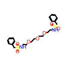 O=S(=O)(Cc1ccccc1)NCCOCCOCCOCCNS(=O)(=O)Cc1ccccc1